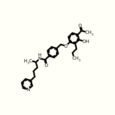 CCCc1c(OCc2ccc(C(=O)NC(C)CCCc3cccnc3)cc2)ccc(C(C)=O)c1O